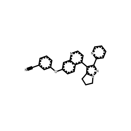 N#Cc1cccc(Oc2ccc3c(-c4c(-c5ccccn5)nn5c4CCC5)ccnc3c2)c1